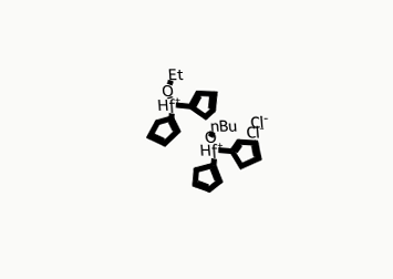 CCCC[O][Hf+]([C]1=CC=CC1)[C]1=CC=CC1.CC[O][Hf+]([C]1=CC=CC1)[C]1=CC=CC1.[Cl-].[Cl-]